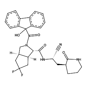 N#C[C@H](C[C@@H]1CCCNC1=O)NC(=O)[C@@H]1[C@H]2CC(F)(F)C[C@H]2CN1C(=O)C1(O)c2ccccc2-c2ccccc21